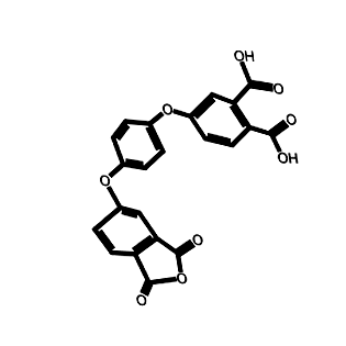 O=C(O)c1ccc(Oc2ccc(Oc3ccc4c(c3)C(=O)OC4=O)cc2)cc1C(=O)O